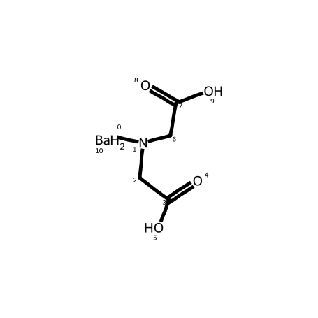 CN(CC(=O)O)CC(=O)O.[BaH2]